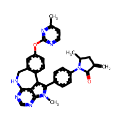 C=C1CC(C)N(c2ccc(-c3c4c5c(ncnc5n3C)NCc3cc(Oc5nccc(C)n5)ccc3-4)cc2)C1=O